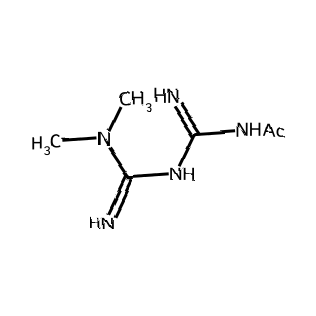 CC(=O)NC(=N)NC(=N)N(C)C